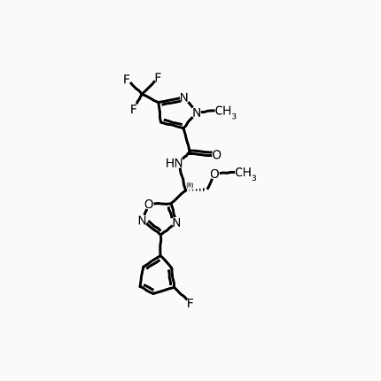 COC[C@@H](NC(=O)c1cc(C(F)(F)F)nn1C)c1nc(-c2cccc(F)c2)no1